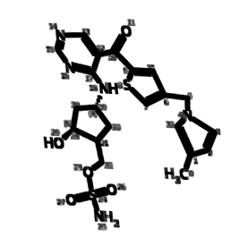 Cc1ccn(Cc2csc(C(=O)c3cncnc3N[C@@H]3CC(COS(N)(=O)=O)[C@@H](O)C3)c2)c1